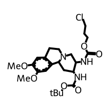 COc1cc2c(cc1OC)C1CC(NC(=O)OC(C)(C)C)C(NC(=O)OCCCCl)CN1CC2